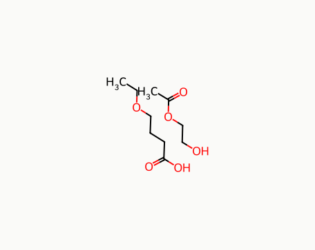 CC(=O)OCCO.CCOCCCC(=O)O